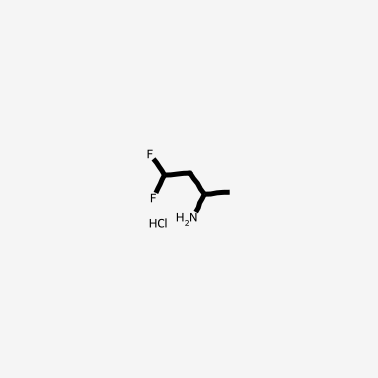 CC(N)CC(F)F.Cl